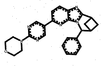 c1ccc(C2C3CC(C3)c3nc4ccc(-c5cnc(N6CCOCC6)nc5)nc4n32)cc1